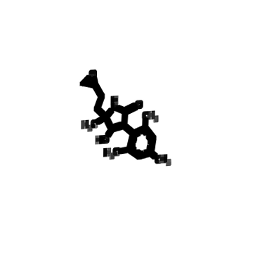 Cc1cc(C)c(C2=C(O)C(C)(CCC3CO3)NC2=O)c(C)c1